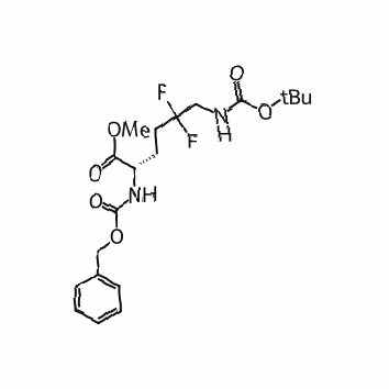 COC(=O)[C@H](CCC(F)(F)CNC(=O)OC(C)(C)C)NC(=O)OCc1ccccc1